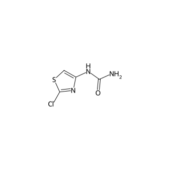 NC(=O)Nc1csc(Cl)n1